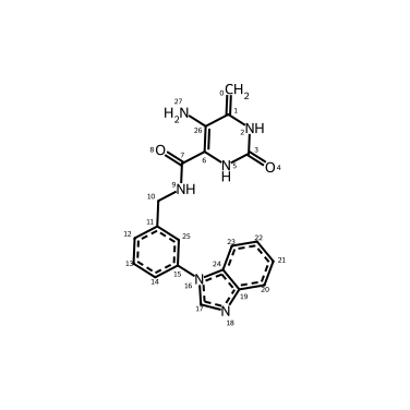 C=C1NC(=O)NC(C(=O)NCc2cccc(-n3cnc4ccccc43)c2)=C1N